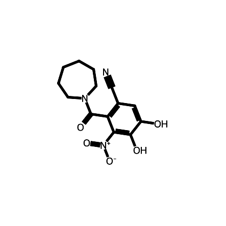 N#Cc1cc(O)c(O)c([N+](=O)[O-])c1C(=O)N1CCCCCC1